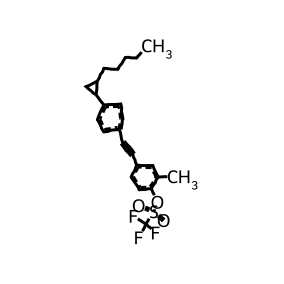 CCCCCC1CC1c1ccc(C#Cc2ccc(OS(=O)(=O)C(F)(F)F)c(C)c2)cc1